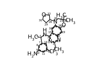 Cc1nc(N[C@H](C)c2cc(N)cc(C(F)(F)F)c2)c2cc3c(cc2n1)OC(C)(C)CN3C1CCOC1